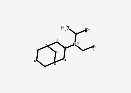 BC(C(C)C)N(CC(C)C)C1CC2CCCC(C2)C1